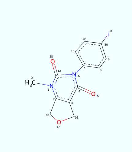 Cn1c2c(c(=O)n(-c3ccc(I)cc3)c1=O)COC2